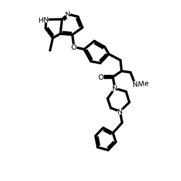 CNCC(Cc1ccc(Oc2ccnc3[nH]cc(C)c23)cc1)C(=O)N1CCN(Cc2ccccc2)CC1